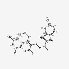 CC(=O)N(CCN(C)c1nc2ccc(Cl)nc2[nH]1)[C@@H]1CCNc2c(Cl)cc(Cl)cc21